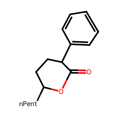 CCCCCC1CCC(c2ccccc2)C(=O)O1